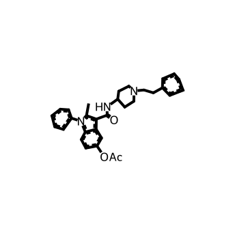 CC(=O)Oc1ccc2c(c1)c(C(=O)NC1CCN(CCc3ccccc3)CC1)c(C)n2-c1ccccc1